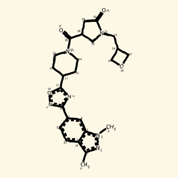 Cc1nn(C)c2cc(-c3noc(C4CCN(C(=O)C5CC(=O)N(CC6COC6)C5)CC4)n3)ccc12